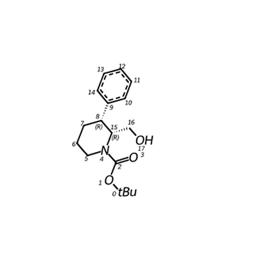 CC(C)(C)OC(=O)N1CCC[C@H](c2ccccc2)[C@@H]1CO